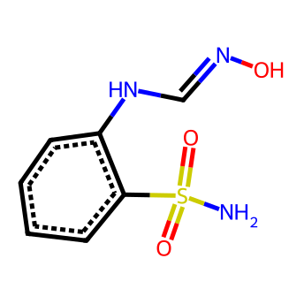 NS(=O)(=O)c1ccccc1N/C=N/O